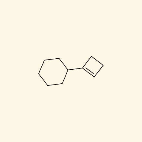 C1=C(C2CCCCC2)CC1